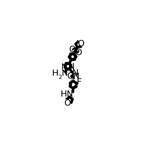 Nc1ncc(-c2ccc(S(=O)(=O)C3CCOC3)cc2)nc1-c1nnc([C@H]2C=CC(CN[C@H]3CCOC3)=CC2F)o1